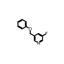 Fc1cncc(COc2cc[c]cc2)c1